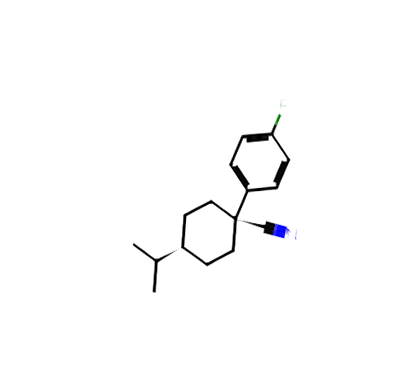 CC(C)[C@H]1CC[C@](C#N)(c2ccc(F)cc2)CC1